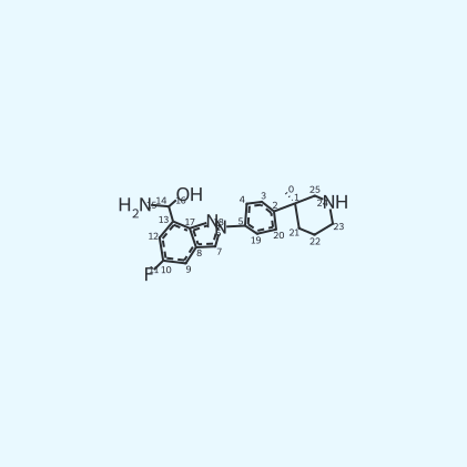 C[C@@]1(c2ccc(-n3cc4cc(F)cc(C(N)O)c4n3)cc2)CCCNC1